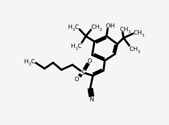 CCCCCS(=O)(=O)C(C#N)=Cc1cc(C(C)(C)C)c(O)c(C(C)(C)C)c1